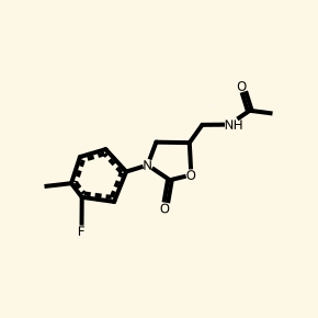 CC(=O)NCC1CN(c2ccc(C)c(F)c2)C(=O)O1